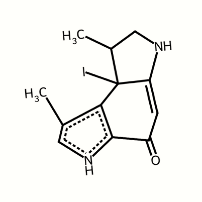 Cc1c[nH]c2c1C1(I)C(=CC2=O)NCC1C